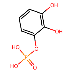 O=P(O)(O)Oc1cccc(O)c1O